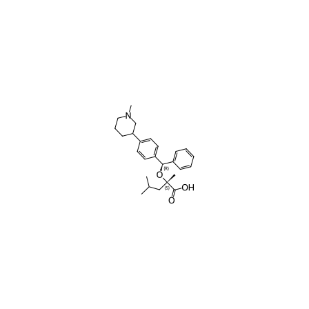 CC(C)C[C@](C)(O[C@H](c1ccccc1)c1ccc(C2CCCN(C)C2)cc1)C(=O)O